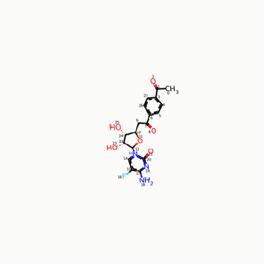 CC(=O)c1ccc(C(=O)C[C@H]2O[C@@H](n3cc(F)c(N)nc3=O)[C@H](O)[C@@H]2O)cc1